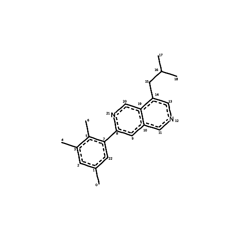 Cc1cc(C)c(C)c(-c2cc3cncc(CC(C)C)c3cn2)c1